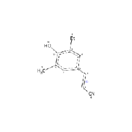 CCc1cc(/C=C/C#N)cc(C)c1O